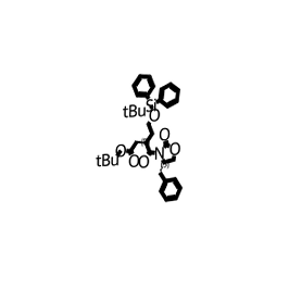 CC(C)(C)OC(=O)C[C@@H](CCO[Si](c1ccccc1)(c1ccccc1)C(C)(C)C)C(=O)N1C(=O)OC[C@@H]1Cc1ccccc1